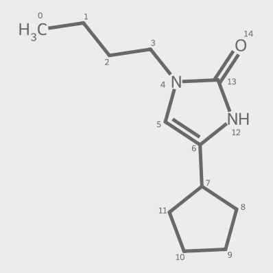 CCCCn1cc(C2CCCC2)[nH]c1=O